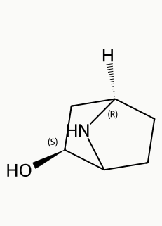 O[C@H]1C[C@H]2CCC1N2